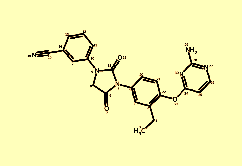 CCc1cc(N2C(=O)CN(c3cccc(C#N)c3)C2=O)ccc1Oc1ccnc(N)n1